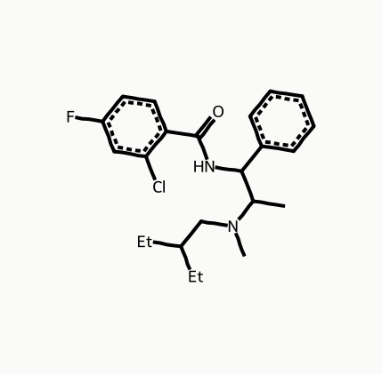 CCC(CC)CN(C)C(C)C(NC(=O)c1ccc(F)cc1Cl)c1ccccc1